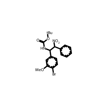 COc1cc(C(NC(=O)OC(C)(C)C)C(c2ccccc2)[N+](=O)[O-])ccc1Br